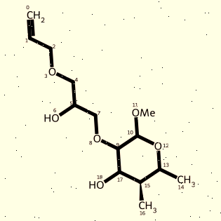 C=CCOCC(O)COC1C(OC)OC(C)[C@@H](C)C1O